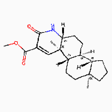 COC(=O)C1=C[C@@]2(C)[C@@H](CC[C@H]3[C@@H]4CCC[C@@]4(C)CC[C@@H]32)NC1=O